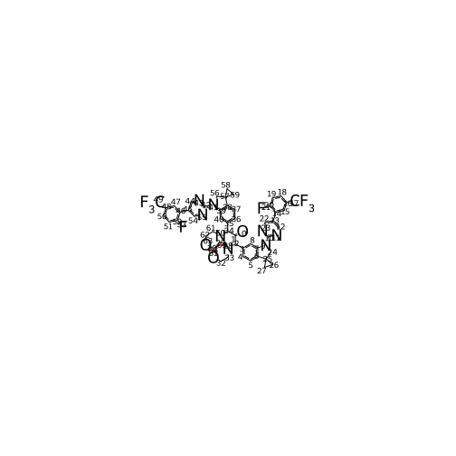 O=C(C(c1ccc2c(c1)N(c1ncc(-c3cc(C(F)(F)F)ccc3F)cn1)CC21CC1)N1CCOCC1)C(c1ccc2c(c1)N(c1ncc(-c3cc(C(F)(F)F)ccc3F)cn1)CC21CC1)N1CCOCC1